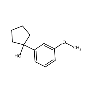 COc1cccc(C2(O)CCCC2)c1